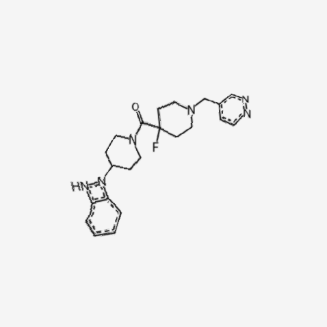 O=C(N1CCC(n2[nH]c3ccccc32)CC1)C1(F)CCN(Cc2ccnnc2)CC1